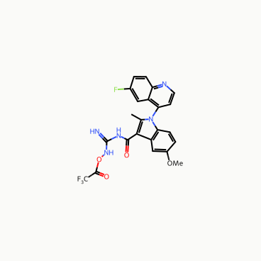 COc1ccc2c(c1)c(C(=O)NC(=N)NOC(=O)C(F)(F)F)c(C)n2-c1ccnc2ccc(F)cc12